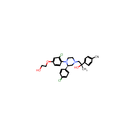 C[C@@](O)(CN1CCN(c2ccc(OCCO)cc2Cl)[C@H](c2ccc(Cl)cc2)C1)c1ccc(C#N)cc1